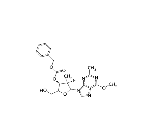 COc1nc(C)nc2c1ncn2C1OC(CO)[C@@H](OC(=O)OCc2ccccc2)[C@@]1(C)F